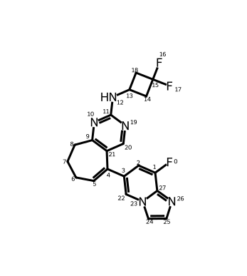 Fc1cc(C2=CCCCc3nc(NC4CC(F)(F)C4)ncc32)cn2ccnc12